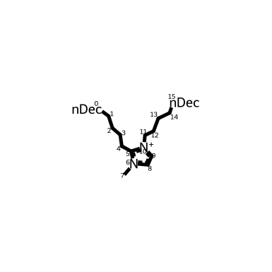 CCCCCCCCCCCCCCc1n(C)cc[n+]1CCCCCCCCCCCCCC